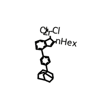 CCCCCCC1=Cc2c(-c3ccc(C45CC6CC(CC(C6)C4)C5)cc3)cccc2[CH]1[Zr]([Cl])[Cl]